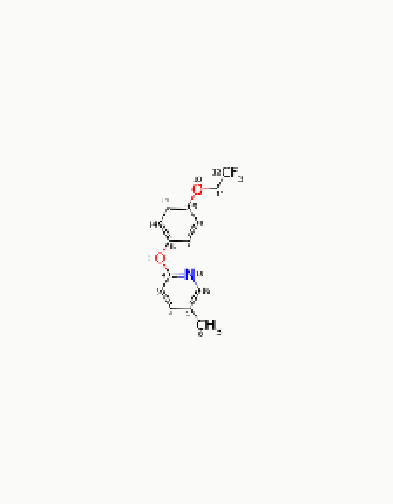 Cc1ccc(Oc2ccc(OCC(F)(F)F)cc2)nc1